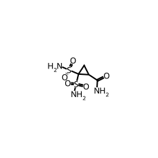 NC(=O)C1CC1(S(N)(=O)=O)S(N)(=O)=O